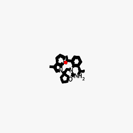 Cc1cn(C2(CN(C(N)=O)c3c(C(C)C)cccc3C(C)C)CCCC2)c2ncccc12